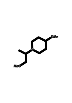 COCC(C)N1CC[C](OC)CC1